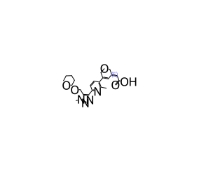 Cc1nc(-c2nnn(C)c2COC2CCCCO2)ccc1C1=C/C(=C\C(=O)O)COC1